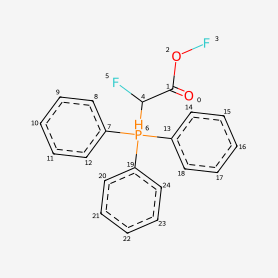 O=C(OF)C(F)[PH](c1ccccc1)(c1ccccc1)c1ccccc1